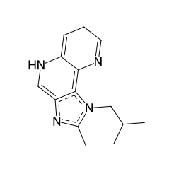 Cc1nc2c(n1CC(C)C)=C1N=CCC=C1NC=2